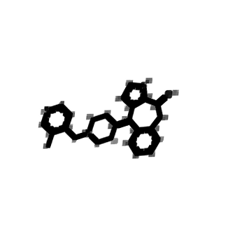 Cc1cnccc1CN1CCC(=C2c3ccccc3CC(=O)c3sccc32)CC1